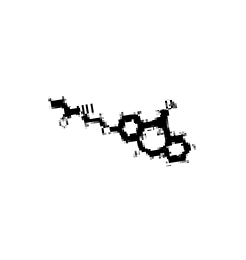 C=CC(=O)NCCOc1ccc2c(c1)CCc1ccccc1-c1c-2c1=O